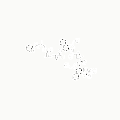 C[C@H](COC(=O)N(C)CCN(C)C(=O)Oc1cc2c(c3ccccc13)[C@H](CCl)CN2C(=O)C12CC3(C(=O)N4C[C@@H](CCl)c5c4cc(OP(=O)(O)O)c4ccccc54)CC13C2)SSc1ccccn1